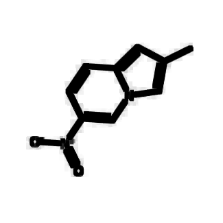 Cc1cc2ccc([N+](=O)[O-])cn2c1